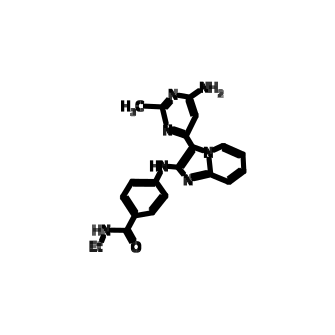 CCNC(=O)c1ccc(Nc2nc3ccccn3c2-c2cc(N)nc(C)n2)cc1